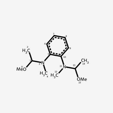 COC(C)N(C)c1ccccc1N(C)C(C)OC